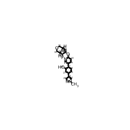 Cn1cc(-c2ccc(-c3ccc(O[C@@H]4C[C@H]5COC[C@H](N5)[C@@H]4F)nn3)c(O)c2)cn1